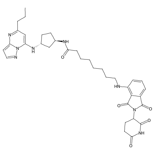 CCCc1cc(N[C@@H]2CC[C@@H](NC(=O)CCCCCCCNc3cccc4c3C(=O)N(C3CCC(=O)NC3=O)C4=O)C2)n2nccc2n1